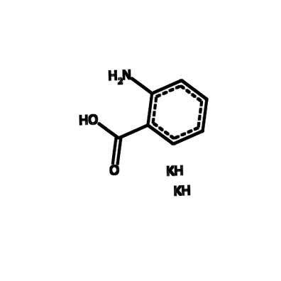 Nc1ccccc1C(=O)O.[KH].[KH]